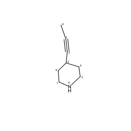 CC#CC1CCNCC1